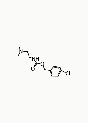 CN(C)CCNC(=O)OCc1ccc(Cl)cc1